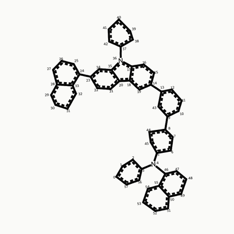 c1ccc(N(c2ccc(-c3cccc(-c4ccc5c(c4)c4ccc(-c6cccc7ccccc67)cc4n5-c4ccccc4)c3)cc2)c2cccc3ccccc23)cc1